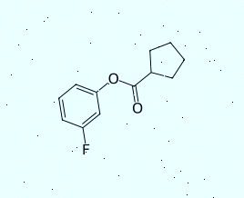 O=C(Oc1cccc(F)c1)C1CCCC1